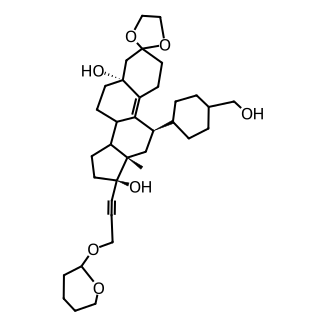 C[C@]12C[C@H](C3CCC(CO)CC3)C3=C4CCC5(C[C@]4(O)CCC3C1CC[C@@]2(O)C#CCOC1CCCCO1)OCCO5